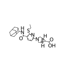 CCSc1nc(N2C[C@H]3C(C(=O)O)[C@@H]3C2)ccc1C(=O)NC1C2CC3CC(C2)CC1C3